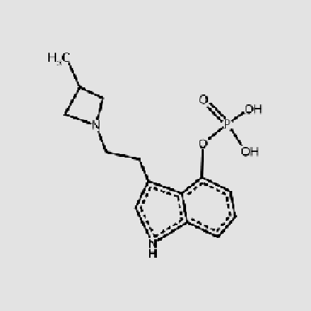 CC1CN(CCc2c[nH]c3cccc(OP(=O)(O)O)c23)C1